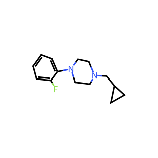 Fc1ccccc1N1CCN(CC2CC2)CC1